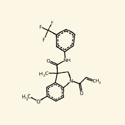 C=CC(=O)N1CC(C)(C(=O)Nc2cccc(C(F)(F)F)c2)c2cc(OC)ccc21